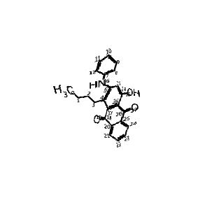 CCCCc1c(Nc2ccccc2)cc(O)c2c1C(=O)c1ccccc1C2=O